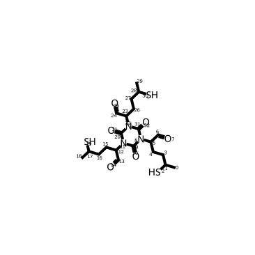 CC(S)CCC(C=O)n1c(=O)n(C(C=O)CCC(C)S)c(=O)n(C(C=O)CCC(C)S)c1=O